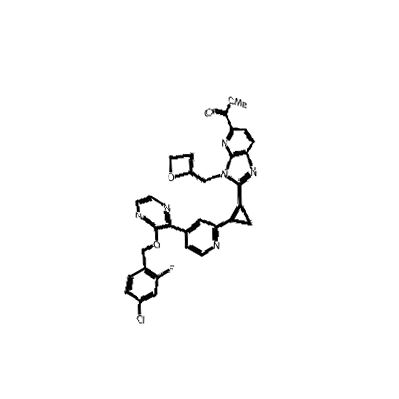 COC(=O)c1ccc2nc(C3CC3c3cc(-c4nccnc4OCc4ccc(Cl)cc4F)ccn3)n(CC3CCO3)c2n1